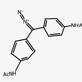 CC(=O)Nc1ccc(C(=[N+]=[N-])c2ccc(NC(C)=O)cc2)cc1